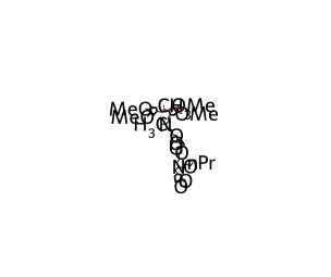 CCCOCCN(CCCOC(=O)/C=C\C(=O)OCCCN(C)CCc1cc(OC)c(OC)cc1[C@H](C)Cc1ccc(OC)c(OC)c1)Cc1ccc2c(c1)OCO2